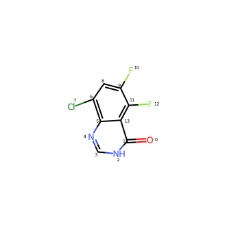 O=c1[nH]cnc2c(Cl)cc(F)c(F)c12